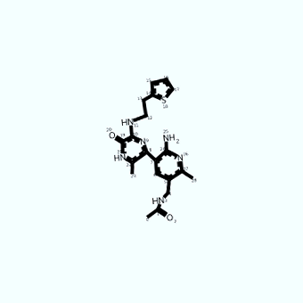 CC(=O)NCc1cc(-c2nc(NCCc3cccs3)c(=O)[nH]c2C)c(N)nc1C